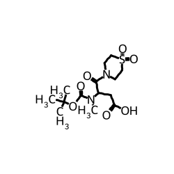 CN(C(=O)OC(C)(C)C)C(CC(=O)O)C(=O)N1CCS(=O)(=O)CC1